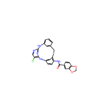 O=C(Nc1ccc2cc1CCc1cccc(c1)Nc1ncc(Cl)c(n1)N2)c1ccc2c(c1)OCO2